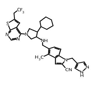 Cc1c(CNC2CN(c3ncnc4sc(CC(F)(F)F)cc34)CC2C2CCCCC2)ccc2c1cc(C#N)n2Cc1cn[nH]c1